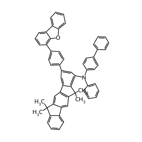 CC1(C)c2ccccc2-c2cc3c(cc21)-c1cc(-c2ccc(-c4cccc5c4oc4ccccc45)cc2)cc(N(c2ccccc2)c2ccc(-c4ccccc4)cc2)c1C3(C)C